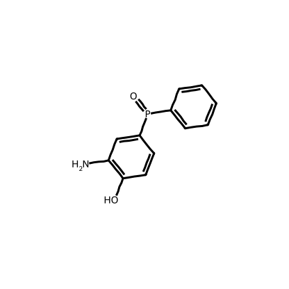 Nc1cc([P](=O)c2ccccc2)ccc1O